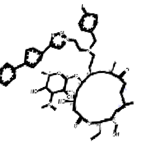 CC[C@H]1OC(=O)C[C@@H](O)[C@H](C)[C@@H](O[C@@H]2O[C@H](C)C(O)C(N(C)C)C2O)[C@@H](CCN(CCn2cc(-c3ccc(-c4ccccc4)cc3)nn2)Cc2ccc(I)cc2)C[C@@H](C)C(=O)/C=C/C(C)=C/[C@@H]1CO